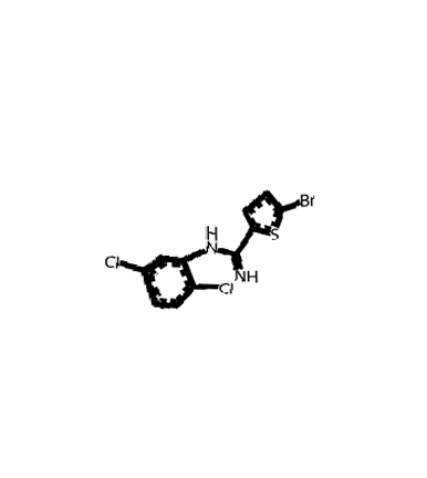 N=C(Nc1cc(Cl)ccc1Cl)c1ccc(Br)s1